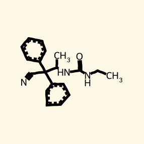 CCNC(=O)NC(C)C(C#N)(c1ccccc1)c1ccccc1